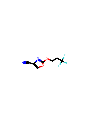 N#Cc1coc(OCCC(F)(F)F)n1